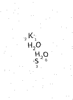 O.O.[K].[S]